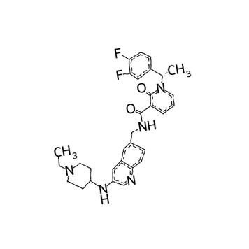 CCN1CCC(Nc2cnc3ccc(CNC(=O)c4cccn([C@@H](C)c5ccc(F)c(F)c5)c4=O)cc3c2)CC1